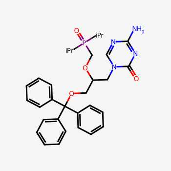 CC(C)P(=O)(COC(COC(c1ccccc1)(c1ccccc1)c1ccccc1)Cn1cnc(N)nc1=O)C(C)C